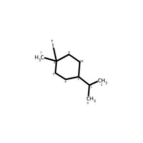 CC(C)C1CCC(C)(I)CC1